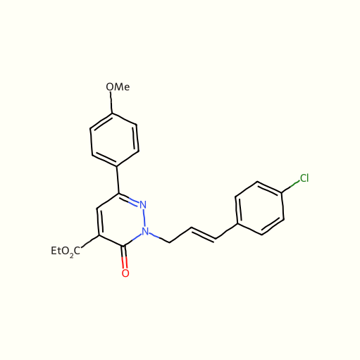 CCOC(=O)c1cc(-c2ccc(OC)cc2)nn(C/C=C/c2ccc(Cl)cc2)c1=O